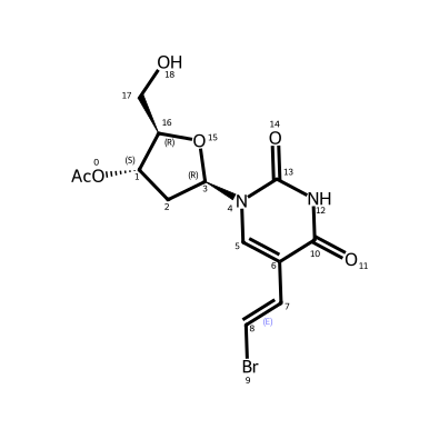 CC(=O)O[C@H]1C[C@H](n2cc(/C=C/Br)c(=O)[nH]c2=O)O[C@@H]1CO